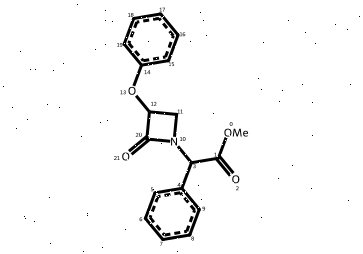 COC(=O)C(c1ccccc1)N1CC(Oc2ccccc2)C1=O